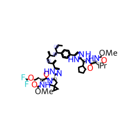 C=C(/C=C\C(=C)c1cnc([C@@H]2CC3(CC3)CN2C(=O)[C@H](CCOC(F)F)NC(=O)OC)[nH]1)/C=C(\C=C/C)c1ccc(-c2cnc([C@@H](NC(=O)[C@@H](NC(=O)OC)C(C)C)C3CCCC3)[nH]2)cc1